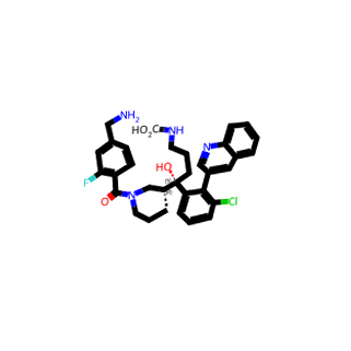 NCc1ccc(C(=O)N2CCC[C@@H]([C@@](O)(CCCNC(=O)O)c3cccc(Cl)c3-c3cnc4ccccc4c3)C2)c(F)c1